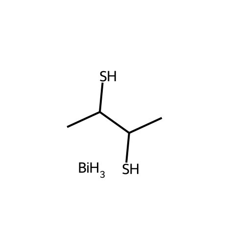 CC(S)C(C)S.[BiH3]